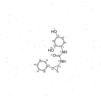 O=C(Nc1ccc(O)cc1O)NC1CC1c1ccccc1